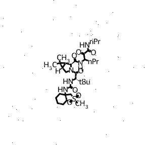 CCCNC(=O)C(=O)C(CCC)NC(=O)[C@@H]1C2[C@H](CN1C(=O)[C@@H](NC(=O)NC1(CS(C)(=O)=O)CCCCC1)C(C)(C)C)C2(C)C